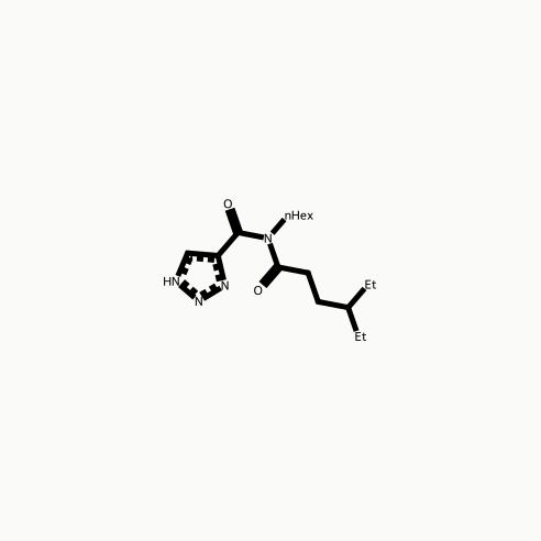 CCCCCCN(C(=O)CCC(CC)CC)C(=O)c1c[nH]nn1